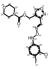 O=C(OCc1nonc1/C=N/ONc1ccc(F)c(Cl)c1)N1CCOCC1